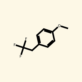 COc1ccc([CH]C(F)(F)F)cc1